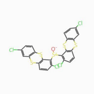 [O-][S+](c1c(Cl)ccc2c1Sc1ccc(Cl)cc1S2)c1c(Cl)ccc2c1Sc1ccc(Cl)cc1S2